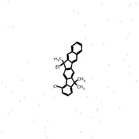 CCC1(C)c2cc3c(cc2-c2cc4ccccc4cc21)C(C)(C)c1cccc(Cl)c1-3